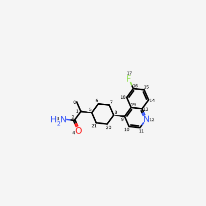 CC(C(N)=O)[C@H]1CC[C@@H](c2ccnc3ccc(F)cc32)CC1